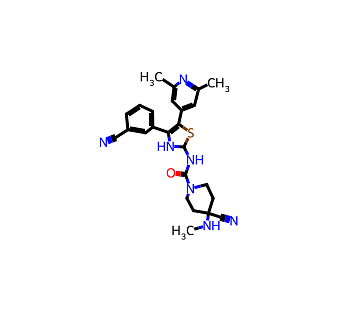 CNC1(C#N)CCN(C(=O)NC2NC(c3cccc(C#N)c3)=C(c3cc(C)nc(C)c3)S2)CC1